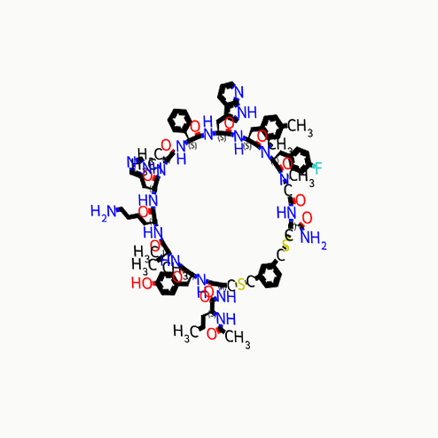 CCC[C@H](NC(C)=O)C(=O)N[C@H]1CSCc2cccc(c2)CSC[C@@H](C(N)=O)NC(=O)CN(C)C(=O)[C@H](Cc2ccc(F)cc2)N(C)C(=O)[C@H](Cc2ccc(C)cc2)NC(=O)[C@H](Cc2c[nH]c3ncccc23)NC(=O)[C@H](c2ccccc2)NC(=O)[C@H](C)N(C)C(=O)[C@H](Cc2cnc[nH]2)NC(=O)[C@H](CCCCN)NC(=O)[C@H](C(C)(C)C)NC(=O)[C@H](Cc2ccc(O)cc2)NC1=O